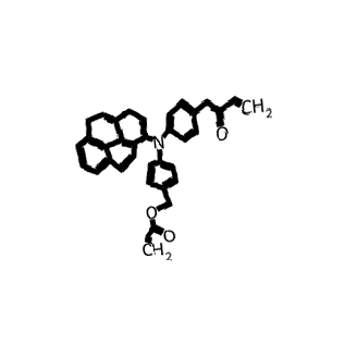 C=CC(=O)Cc1ccc(N(C2=CCC3=CCc4cccc5ccc2c3c45)c2ccc(COC(=O)C=C)cc2)cc1